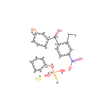 CCc1cc([N+](=O)[O-])ccc1C(=O)c1ccccc1.OP(O)(=S)Oc1ccccc1.P.S